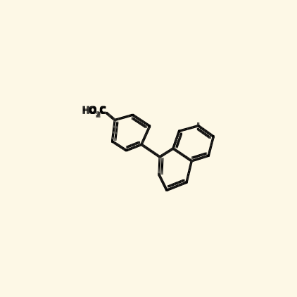 O=C(O)c1ccc(-c2cccc3cc[c]cc23)cc1